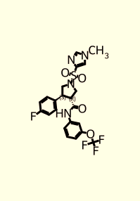 Cn1cnc(S(=O)(=O)N2C[C@H](C(=O)Nc3cccc(OC(F)(F)F)c3)[C@@H](c3ccc(F)cc3)C2)c1